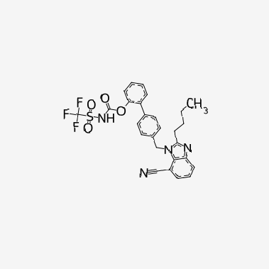 CCCCc1nc2cccc(C#N)c2n1Cc1ccc(-c2ccccc2OC(=O)NS(=O)(=O)C(F)(F)F)cc1